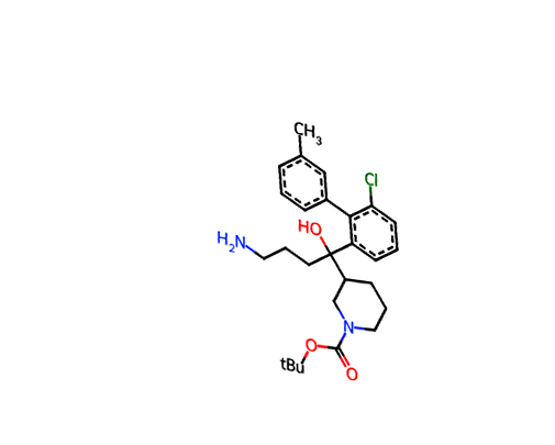 Cc1cccc(-c2c(Cl)cccc2C(O)(CCCN)C2CCCN(C(=O)OC(C)(C)C)C2)c1